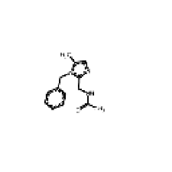 CC(=O)NCc1ncc(C)n1Cc1ccccc1